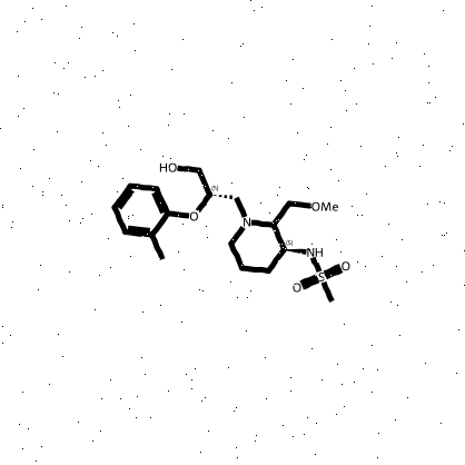 COCC1[C@@H](NS(C)(=O)=O)CCCN1C[C@@H](CO)Oc1ccccc1C